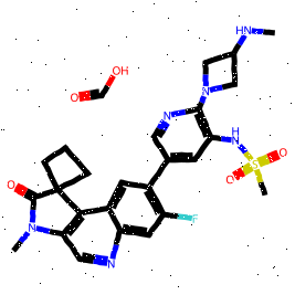 CNC1CN(c2ncc(-c3cc4c5c(cnc4cc3F)N(C)C(=O)C53CCC3)cc2NS(C)(=O)=O)C1.O=CO